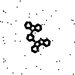 c1cc(-n2c3ccccc3c3ccccc32)cc(-n2c3cccnc3c3c4ccccc4sc32)c1